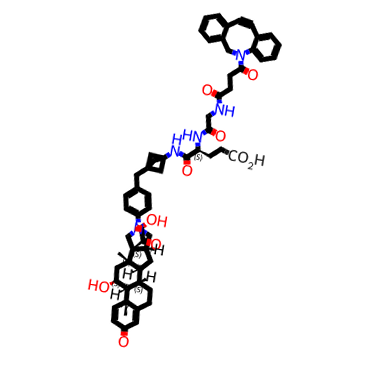 C[C@]12C=CC(=O)C=C1CC[C@@H]1[C@@H]2[C@@H](O)C[C@@]2(C)[C@H]1C[C@H]1CN(c3ccc(CC45CC(NC(=O)[C@H](CCC(=O)O)NC(=O)CNC(=O)CCC(=O)N6Cc7ccccc7C#Cc7ccccc76)(C4)C5)cc3)C[C@]12C(=O)CO